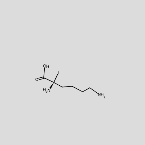 NCCCC[C@@](N)(I)C(=O)O